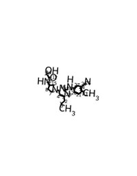 CCCc1cc(N2CCC(NC(=O)CO)C2)nc(Nc2ccc(C)c(C#N)c2)n1